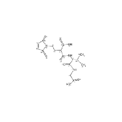 CC(=O)CNC(=O)C(NC(=O)C(CCN1C(=O)C=CC1=O)S(=O)O)C(C)C